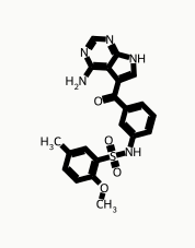 COc1ccc(C)cc1S(=O)(=O)Nc1cccc(C(=O)c2c[nH]c3ncnc(N)c23)c1